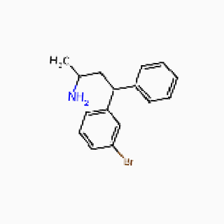 CC(N)CC(c1ccccc1)c1cccc(Br)c1